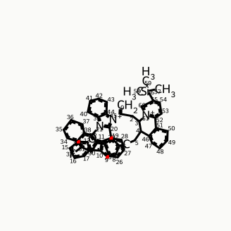 C=C1CC2C(CCc3ccc4c(oc5ccccc54)c3-c3n(-c4c(-c5ccccc5)cc(F)c5ccccc45)c4ccccc4[n+]31)c1ccccc1-c1ccc([Si](C)(C)C)c[n+]12